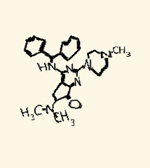 CN1CCN(c2nc(NC(c3ccccc3)c3ccccc3)c3c(n2)C(=O)C(N(C)C)C3)CC1